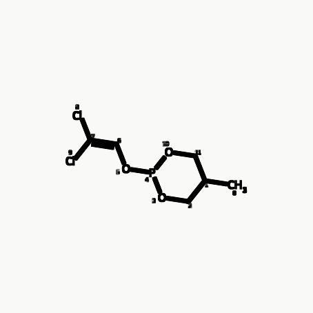 C[C]1COP(OC=C(Cl)Cl)OC1